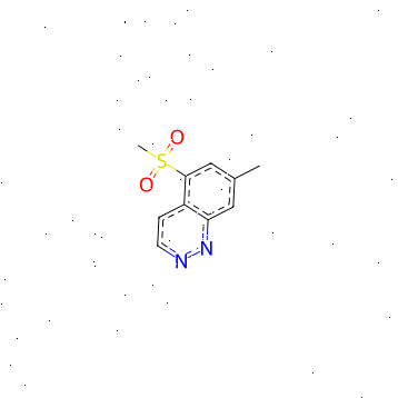 Cc1cc(S(C)(=O)=O)c2ccnnc2c1